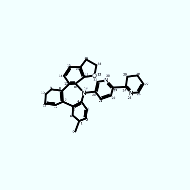 CC1C=CC2=C(C1)C1=C(CCC=C1)c1ccc3c(c1N2c1ccc(C2=NC=CCC2)nc1)OCC3